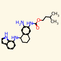 CC(C)CCOC(=O)Nc1cc2c(cc1N)C(Nc1cccc3cc[nH]c13)CCC2